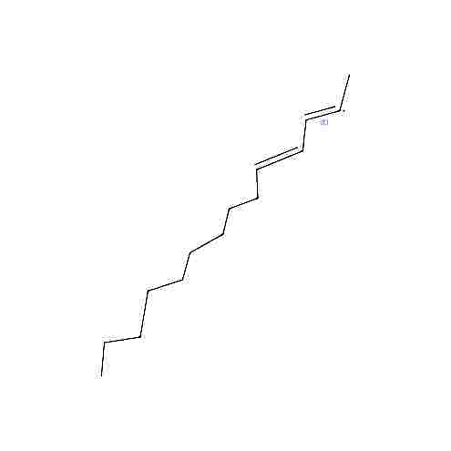 C/[C]=C/C=CCCCCCCCCC